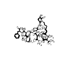 CC[C@@H](C)[C@@H]([C@@H](CC(=O)N1CCC[C@H]1[C@H](OC)[C@@H](C)C(=O)NC(Cc1ccccc1)C(=O)O)OC)N(C)C(=O)[C@@H](NC(=O)[C@H](C(C)C)N(C)C(=O)CCCCCN1C(=O)C=C(Br)C1=O)C(C)C